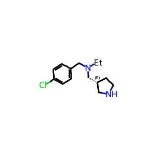 CCN(Cc1ccc(Cl)cc1)C[C@@H]1CCNC1